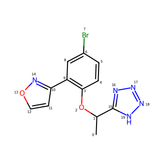 CC(Oc1ccc(Br)cc1-c1ccon1)c1nnn[nH]1